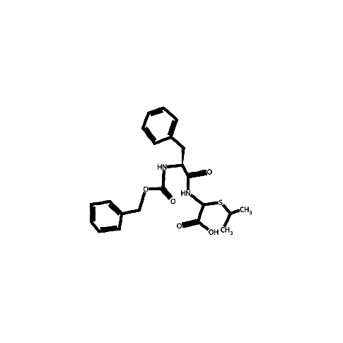 CC(C)SC(NC(=O)[C@H](Cc1ccccc1)NC(=O)OCc1ccccc1)C(=O)O